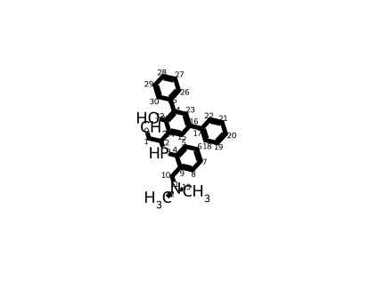 CCC(Pc1ccccc1CN(C)C)c1cc(-c2ccccc2)cc(-c2ccccc2)c1O